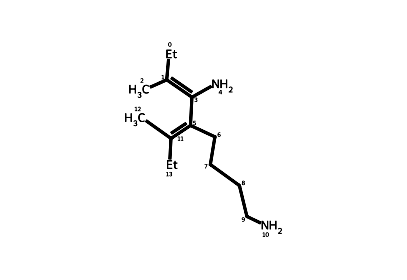 CCC(C)=C(N)C(CCCCN)=C(C)CC